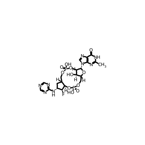 Cc1nc2c(ncn2[C@@H]2O[C@@H]3COP(=O)(O)O[C@@H]4[C@@H](COP(=O)(O)O[C@@H]2[C@@H]3O)C[C@@H](Nc2ncncn2)[C@@H]4F)c(=O)[nH]1